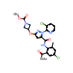 CNC(=O)c1cc(Cl)cc(C)c1NC(=O)c1cc(OC2CN(C(=O)OC(C)(C)C)C2)nn1-c1ncccc1Cl